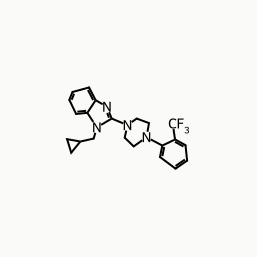 FC(F)(F)c1ccccc1N1CCN(c2nc3ccccc3n2CC2CC2)CC1